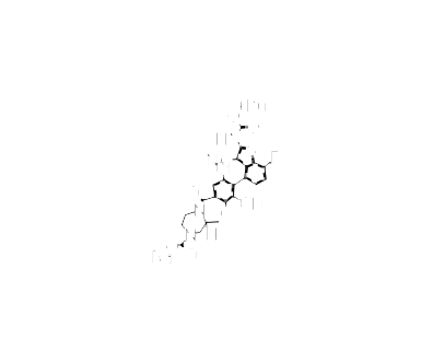 Cc1c2c(cc(Cl)c1-c1ccc(F)c3sc(NC(=O)OC(C)(C)C)c(C#N)c13)C(=O)N1CCN(C(=O)OC(C)(C)C)C[C@@H]1CO2